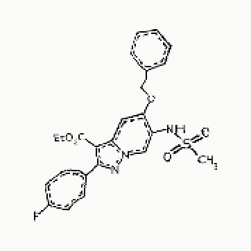 CCOC(=O)c1c(-c2ccc(F)cc2)nn2cc(NS(C)(=O)=O)c(OCc3ccccc3)cc12